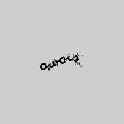 Cc1cc(C(F)(F)F)nn1CC(=O)N1CCC(c2nc(CS(=O)(=O)C3CCCCC3)cs2)CC1